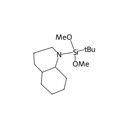 CO[Si](OC)(N1CCCC2CCCCC21)C(C)(C)C